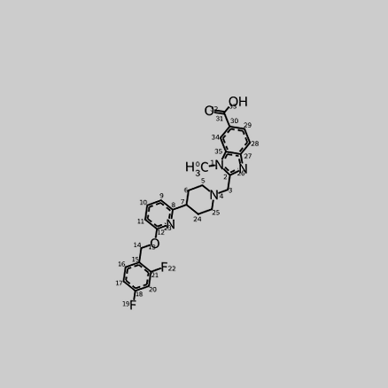 Cn1c(CN2CCC(c3cccc(OCc4ccc(F)cc4F)n3)CC2)nc2ccc(C(=O)O)cc21